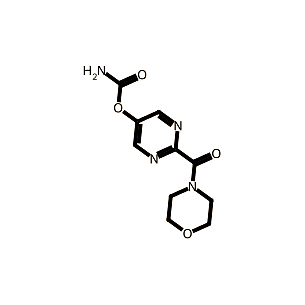 NC(=O)Oc1cnc(C(=O)N2CCOCC2)nc1